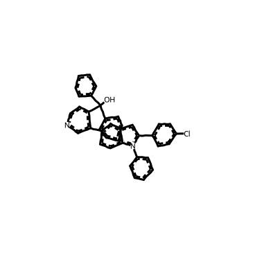 OC(c1ccccc1)(c1ccccc1)c1ccncc1-c1ccc2c(c1)cc(-c1ccc(Cl)cc1)n2-c1ccccc1